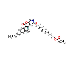 C=CC(=O)OCCCCCCCCCCCCOc1cc2cc(-c3ccc(CCCC)cc3C(F)(F)F)c(=O)oc2cn1